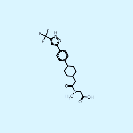 CN(CC(=O)O)C(=O)CC1CCC(c2ccc(-c3cc(C(F)(F)F)[nH]n3)cc2)CC1